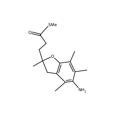 CSC(=O)CCC1(C)Cc2c(C)c(N)c(C)c(C)c2O1